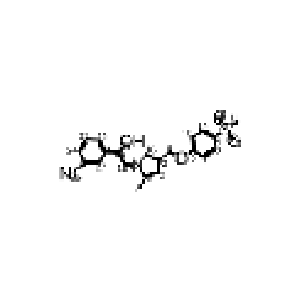 C[C@@H]1C[C@H](COc2ccc(S(C)(=O)=O)cc2)CN1C[C@H](O)c1cccc(C#N)c1